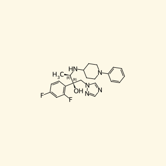 C[C@@H](NC1CCN(c2ccccc2)CC1)[C@](O)(Cn1cncn1)c1ccc(F)cc1F